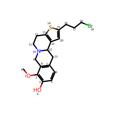 COc1c(O)ccc2c1CN1CCc3sc(CCCBr)cc3C1C2